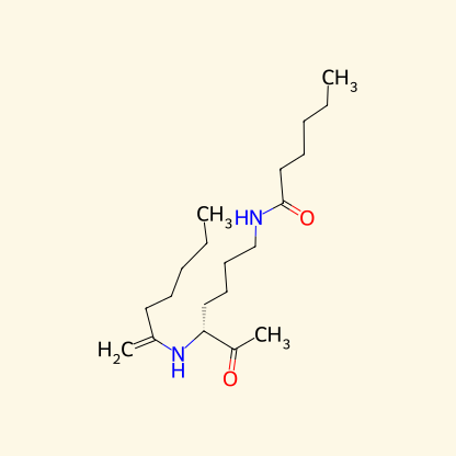 C=C(CCCCC)N[C@H](CCCCNC(=O)CCCCC)C(C)=O